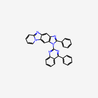 c1ccc(-c2nc(-n3c(-c4ccccc4)nc4cc5nc6ccccn6c5cc43)nc3ccccc23)cc1